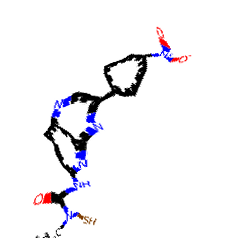 CN(S)C(=O)Nc1ccc2ncc(-c3ccc([N+](=O)[O-])cc3)nc2n1